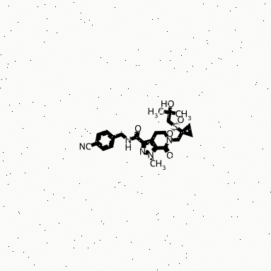 Cn1nc(C(=O)NCc2ccc(C#N)cc2)c2c1C(=O)N(CC1(S(=O)(=O)CC(C)(C)O)CC1)CC2